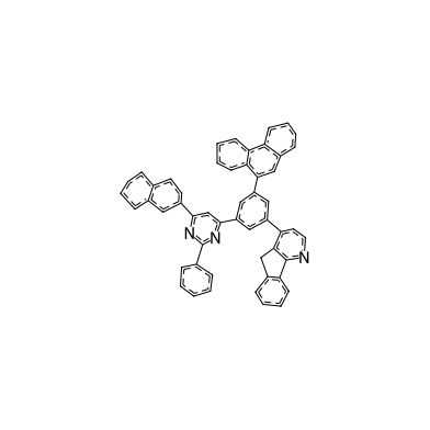 c1ccc(-c2nc(-c3cc(-c4ccnc5c4Cc4ccccc4-5)cc(-c4cc5ccccc5c5ccccc45)c3)cc(-c3ccc4ccccc4c3)n2)cc1